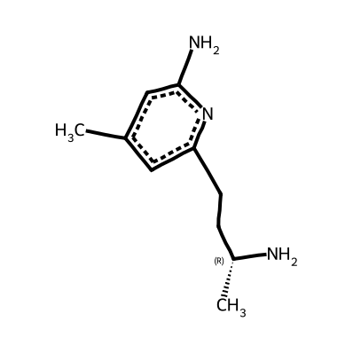 Cc1cc(N)nc(CC[C@@H](C)N)c1